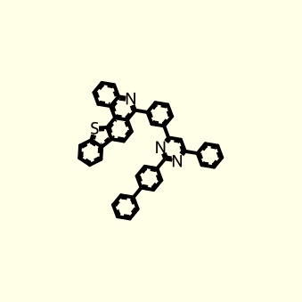 c1ccc(-c2ccc(-c3nc(-c4ccccc4)cc(-c4cccc(-c5nc6ccccc6c6c5ccc5c7ccccc7sc56)c4)n3)cc2)cc1